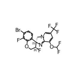 Fc1c(Br)ccc2c1OC[C@H](F)[C@@]21CN2C=C(C(F)(F)F)C=C(OC(F)F)C2=N1